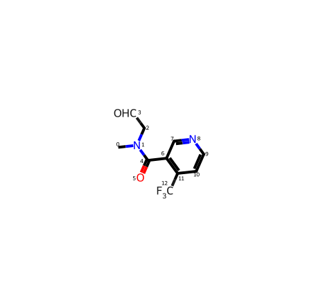 CN(CC=O)C(=O)c1cnccc1C(F)(F)F